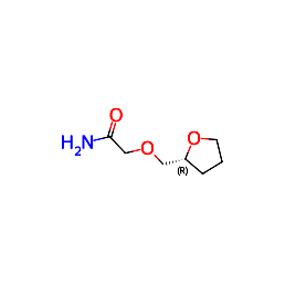 NC(=O)COC[C@H]1CCCO1